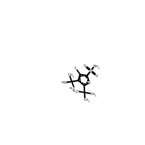 CC(C)(C)c1sc(S(N)(=O)=O)c(F)c1C(C)(C)O